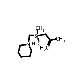 C=C(C)C[Si](C)(C)CN1CCCCC1